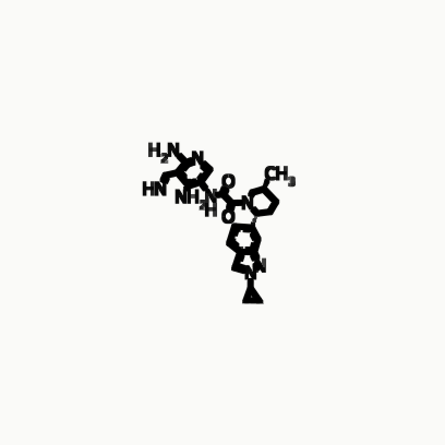 C[C@H]1CC[C@H](c2ccc3cn(C4CC4)nc3c2)N(C(=O)C(=O)Nc2cnc(N)c(C=N)c2N)C1